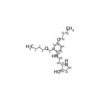 CCCCOCc1cc(OCCCC)ccc1NCCC1NCCC1O